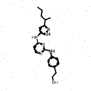 CCCC(C)c1cc(Nc2ccnc(Nc3ccc(CCO)cc3)n2)[nH]n1